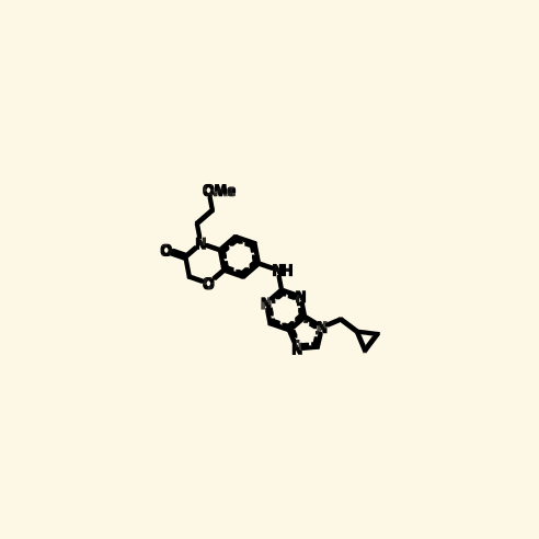 COCCN1C(=O)COc2cc(Nc3ncc4ncn(CC5CC5)c4n3)ccc21